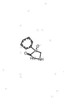 O=C1NNC[N+]1([O-])c1ccccc1